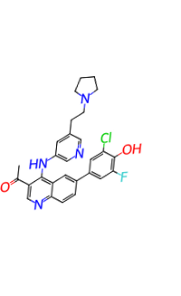 CC(=O)c1cnc2ccc(-c3cc(F)c(O)c(Cl)c3)cc2c1Nc1cncc(CCN2CCCC2)c1